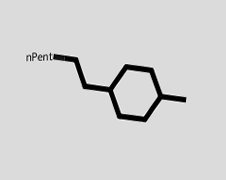 CCCCCCCC1CCC(C)CC1